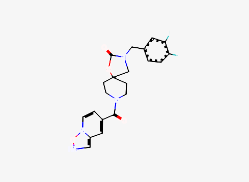 O=C1OC2(CCN(C(=O)C3=CC4=CNON4C=C3)CC2)CN1Cc1ccc(F)c(F)c1